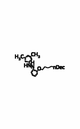 CCCCCCCCCCCCCCOc1ccccc1NNc1cc(C)cc(C)c1